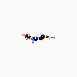 COCCOc1cc(F)c2c(c1)CCC2Nc1ccc2[nH]c(O[C@@H]3CO[C@H]4[C@@H]3OC[C@H]4O)nc2n1